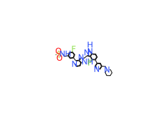 CS(=O)(=O)NCc1cc(F)cc(-c2nccc3[nH]c(-c4n[nH]c5ccc(-c6cncc(CN7CCCCC7)c6)c(F)c45)nc23)c1